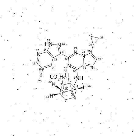 O=C(O)[C@H]1[C@H]2CC[C@H](CC2)[C@@H]1Nc1nc(-c2n[nH]c3ncc(F)cc23)nn2c(C3CC3)ccc12